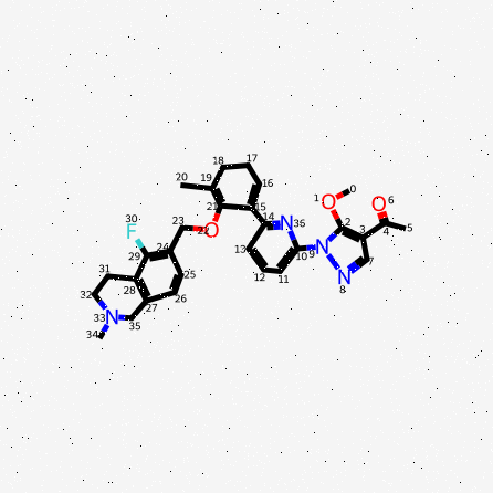 COc1c(C(C)=O)cnn1-c1cccc(C2=CCCC(C)=C2OCc2ccc3c(c2F)CCN(C)C3)n1